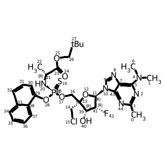 Cc1nc(N(C)C)c2ncn([C@@H]3O[C@](CCl)(CO[P@](=S)(N[C@H](C)C(=O)OCC(C)(C)C)Oc4cccc5ccccc45)[C@@H](O)[C@H]3F)c2n1